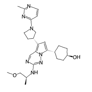 COC[C@H](C)Nc1ncc2c([C@@H]3CCN(c4ccnc(C)n4)C3)cc([C@H]3CC[C@H](O)CC3)n2n1